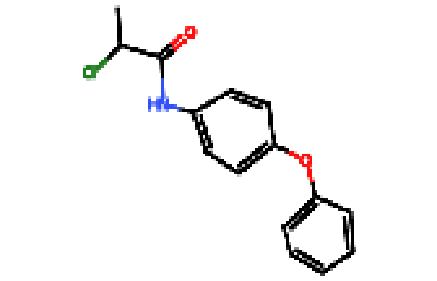 CC(Cl)C(=O)Nc1ccc(Oc2ccccc2)cc1